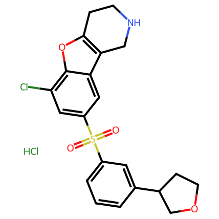 Cl.O=S(=O)(c1cccc(C2CCOC2)c1)c1cc(Cl)c2oc3c(c2c1)CNCC3